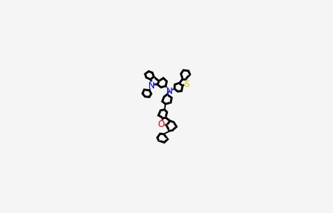 c1ccc(-c2cccc3c2oc2ccc(-c4ccc(N(c5ccc6sc7ccccc7c6c5)c5ccc6c7ccccc7n(-c7ccccc7)c6c5)cc4)cc23)cc1